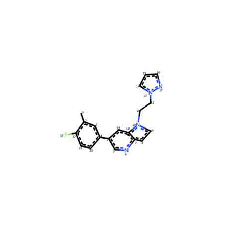 Cc1cc(-c2cnc3ccn(CCn4cccn4)c3c2)ccc1F